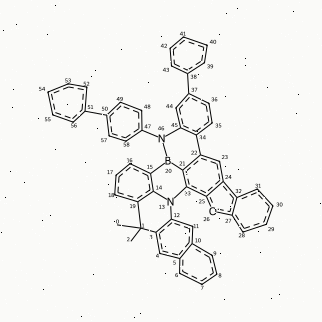 CC1(C)c2cc3ccccc3cc2N2c3c(cccc31)B1c3c(cc4c(oc5ccccc54)c32)-c2ccc(-c3ccccc3)cc2N1c1ccc(-c2ccccc2)cc1